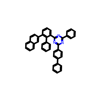 c1ccc(-c2ccc(-c3nc(-c4ccccc4)nc(-c4cccc(-c5ccc6ccccc6c5)c4-c4ccccc4)n3)cc2)cc1